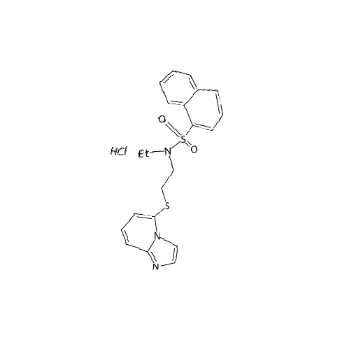 CCN(CCSc1cccc2nccn12)S(=O)(=O)c1cccc2ccccc12.Cl